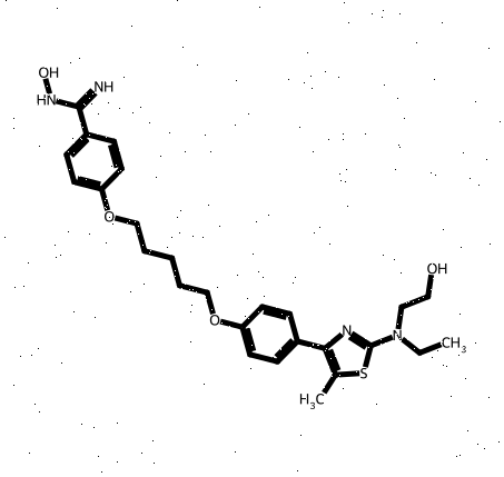 CCN(CCO)c1nc(-c2ccc(OCCCCCOc3ccc(C(=N)NO)cc3)cc2)c(C)s1